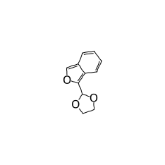 c1ccc2c(C3OCCO3)occ2c1